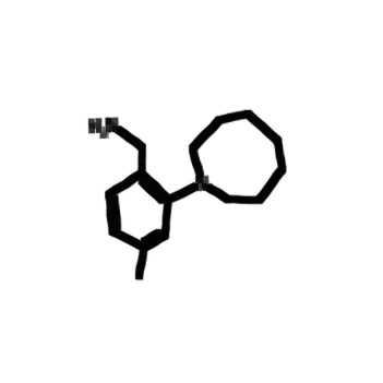 Cc1ccc(CN)c(N2CCCCCCC2)c1